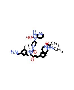 CN[C@H](C)C(=O)N1CCC2(CCC(CCC(=O)[C@@H](Cc3cc(C)cc(C=N)c3)NC(=O)N3CCC(N4c5cccnc5NC4O)CC3)C2)CC1